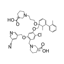 Cc1ccccc1C1=CC=CC(COc2cc(OCc3cncc(C#N)c3)c(CN3CCC[C@H](C(=O)O)C3)cc2Cl)(OCCCN2CCC[C@H](C(=O)O)C2)C1C